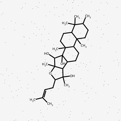 CC(C)=CCC1OC2(C)C(C3CCC4C5(C)CCC(C)C(C)(C)C5CCC4(C)C3(O)C2O)C1(C)O